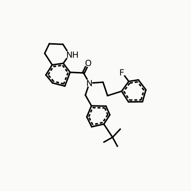 CC(C)(C)c1ccc(CN(CCc2ccccc2F)C(=O)c2cccc3c2NCCC3)cc1